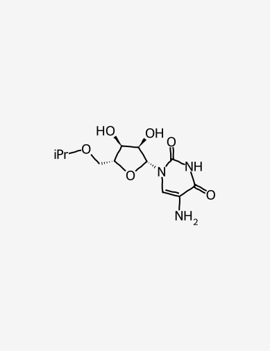 CC(C)OC[C@H]1O[C@@H](n2cc(N)c(=O)[nH]c2=O)[C@H](O)[C@@H]1O